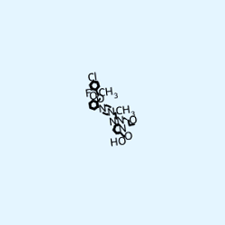 CC(c1nc2ccc(C(=O)O)nc2n1C[C@@H]1CCO1)N1CCN(c2cccc3c2OC(C)(c2ccc(Cl)cc2F)O3)CC1